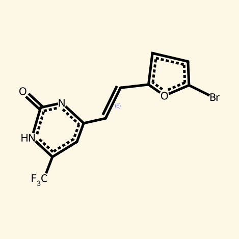 O=c1nc(/C=C/c2ccc(Br)o2)cc(C(F)(F)F)[nH]1